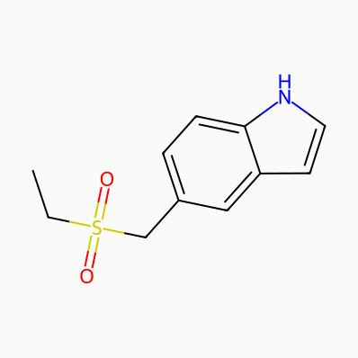 CCS(=O)(=O)Cc1ccc2[nH]ccc2c1